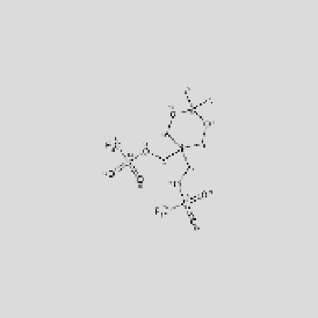 CC1(C)OCC(COS(=O)(=O)C(F)(F)F)(COS(=O)(=O)C(F)(F)F)CO1